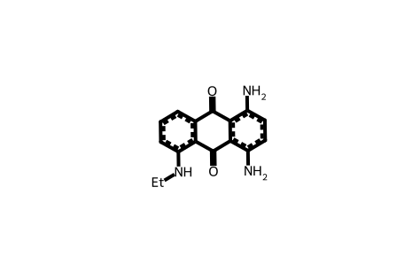 CCNc1cccc2c1C(=O)c1c(N)ccc(N)c1C2=O